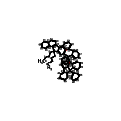 CCCCC1(CCCC)c2cc(N(c3ccc4c(c3)C(c3ccccc3)(c3ccccc3-c3ccccc3)c3ccccc3-4)c3ccccc3-c3ccccc3)ccc2-c2ccc3ccccc3c21